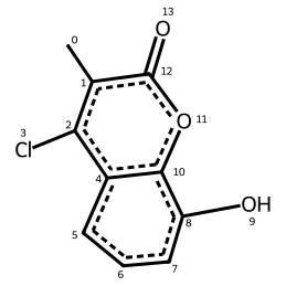 Cc1c(Cl)c2cccc(O)c2oc1=O